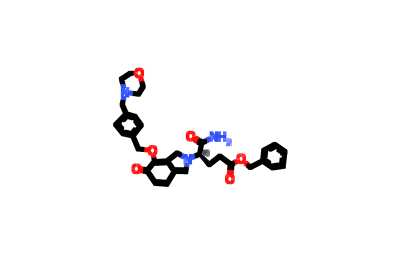 NC(=O)[C@@H](CCC(=O)OCc1ccccc1)N1C=C2C=CC(=O)C(OCc3ccc(CN4CCOCC4)cc3)=C2C1